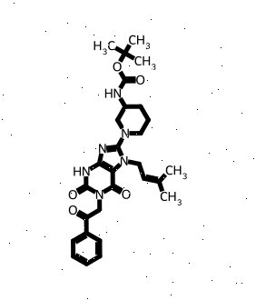 CC(C)=CCn1c(N2CCCC(NC(=O)OC(C)(C)C)C2)nc2[nH]c(=O)n(CC(=O)c3ccccc3)c(=O)c21